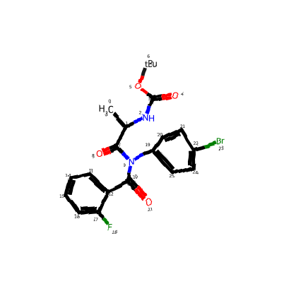 CC(NC(=O)OC(C)(C)C)C(=O)N(C(=O)c1ccccc1F)c1ccc(Br)cc1